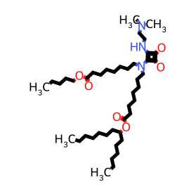 CCCCCCCC(CCCCCC)OC(=O)CCCCCCCN(CCCCCCCC(=O)OCCCCC)c1c(NCCN(C)C)c(=O)c1=O